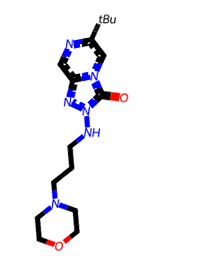 CC(C)(C)c1cn2c(=O)n(NCCCN3CCOCC3)nc2cn1